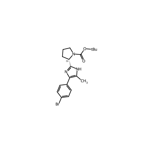 Cc1[nH]c([C@@H]2CCCN2C(=O)OC(C)(C)C)nc1-c1ccc(Br)cc1